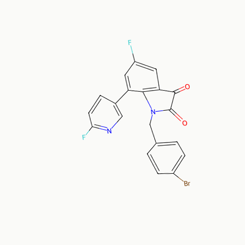 O=C1C(=O)N(Cc2ccc(Br)cc2)c2c1cc(F)cc2-c1ccc(F)nc1